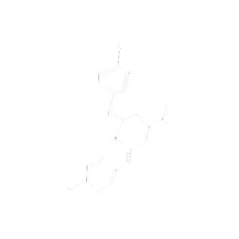 CC(C)C1C/C(=C/c2ccc(N)cc2)C(=O)/C(=C/c2ccc(N)cc2)C1